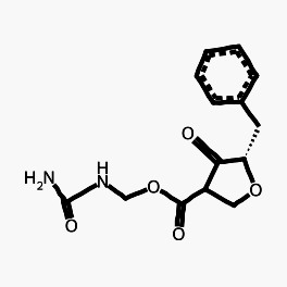 NC(=O)NCOC(=O)C1CO[C@@H](Cc2ccccc2)C1=O